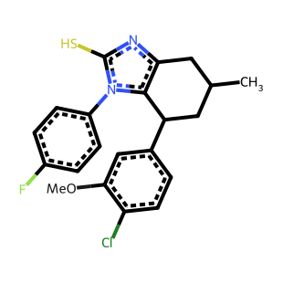 COc1cc(C2CC(C)Cc3nc(S)n(-c4ccc(F)cc4)c32)ccc1Cl